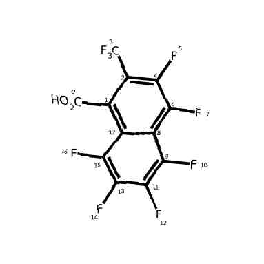 O=C(O)c1c(C(F)(F)F)c(F)c(F)c2c(F)c(F)c(F)c(F)c12